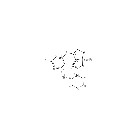 Cc1cc(CN2CCC(CCN3CCCCC3)(C(C)C)C2=O)cc(C(F)(F)F)c1